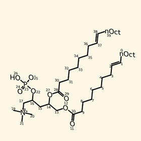 CCCCCCCCC=CCCCCCCCC(=O)OCC(CC(C[N+](C)(C)C)OP(=O)([O-])O)OC(=O)CCCCCCCC=CCCCCCCCC